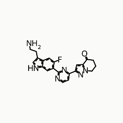 NCCc1c[nH]c2cc(-c3nccc(-c4cc5n(n4)CCCC5=O)n3)c(F)cc12